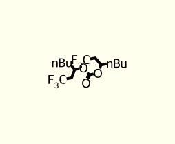 CCCCC(CC(F)(F)F)OC(=O)OC(CCCC)CC(F)(F)F